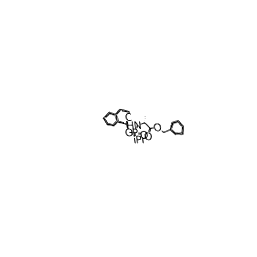 CC(C)P(=O)(N[C@H](C)C(=O)OCc1ccccc1)Oc1cccc2ccccc12